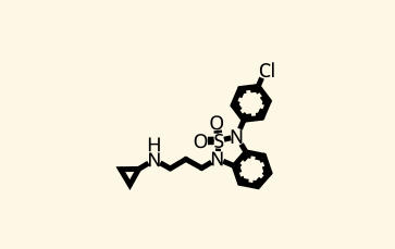 O=S1(=O)N(CCCNC2CC2)c2ccccc2N1c1ccc(Cl)cc1